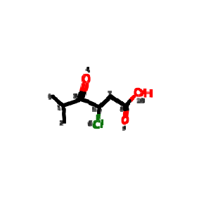 CC(C)C(=O)C(Cl)CC(=O)O